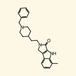 Cc1cccc2c3c([nH]c12)C(=O)N(CCC1CCN(Cc2ccccc2)CC1)C3